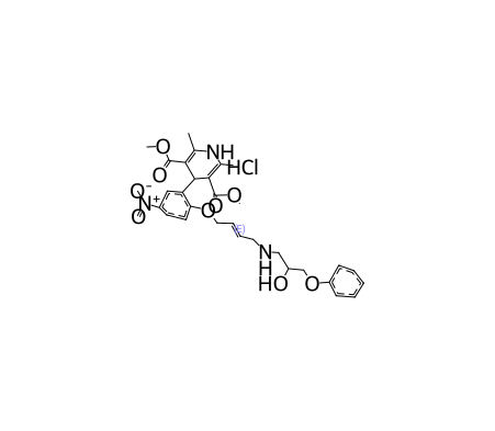 COC(=O)C1=C(C)NC(C)=C(C(=O)OC)C1c1cc([N+](=O)[O-])ccc1OC/C=C/CNCC(O)COc1ccccc1.Cl